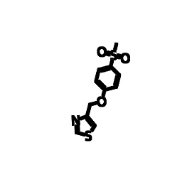 CS(=O)(=O)c1ccc(OCc2cscn2)cc1